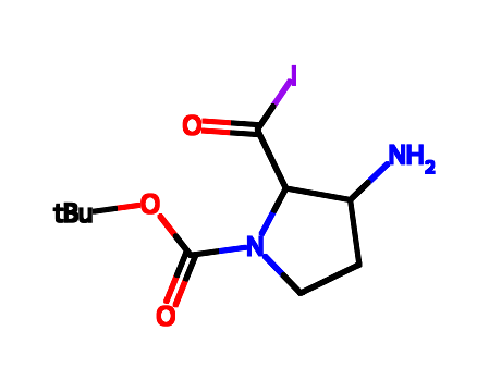 CC(C)(C)OC(=O)N1CCC(N)C1C(=O)I